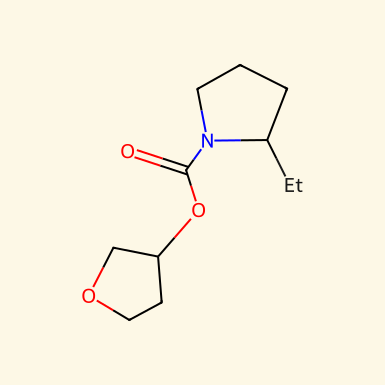 CCC1CCCN1C(=O)OC1CCOC1